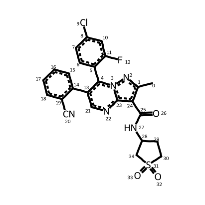 Cc1nn2c(-c3ccc(Cl)cc3F)c(-c3ccccc3C#N)cnc2c1C(=O)NC1CCS(=O)(=O)C1